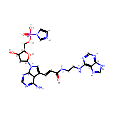 NC1=NC=NC2C1C(/C=C/C(=O)NCCNc1ncnc3[nH]cnc13)=CN2[C@H]1CC(O)[C@@H](COP(=O)(O)n2ccnc2)O1